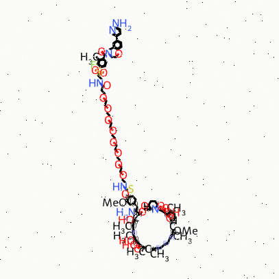 CO[C@H]1C[C@@H]2CC[C@@H](C)[C@@](O)(O2)C(=O)C(=O)N2CCCC[C@H]2C(=O)O[C@H]([C@H](N)C[C@@H]2CC[C@@H](OC(=S)NCCOCCOCCOCCOCCOCCOCCOCCOCCC(=O)NCCS(=O)(=O)c3ccc(C(=O)N4CCOc5ccc(-c6ccc(N)nc6)cc5C4)c(C)c3F)[C@H](OC)C2)C[C@@H](O)[C@H](C)/C=C(\C)[C@@H](O)[C@@H](O)C(=O)[C@H](C)C[C@H](C)/C=C/C=C/C=C/1C